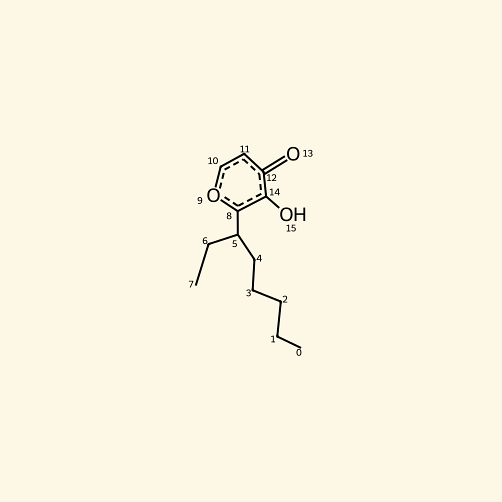 CCCCCC(CC)c1occc(=O)c1O